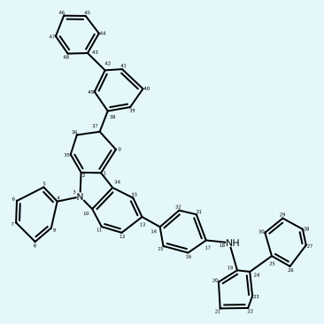 C1=c2c(n(-c3ccccc3)c3ccc(-c4ccc(Nc5ccccc5-c5ccccc5)cc4)cc23)=CCC1c1cccc(-c2ccccc2)c1